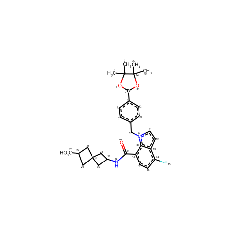 CC1(C)OB(c2ccc(Cn3ccc4c(F)ccc(C(=O)NC5CC6(C5)CC(C(=O)O)C6)c43)cc2)OC1(C)C